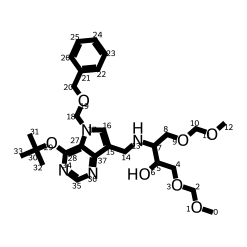 COCOCC(O)C(COCOC)NCc1cn(COCc2ccccc2)c2c(OC(C)(C)C)ncnc12